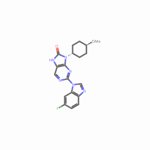 CO[C@H]1CC[C@H](n2c(=O)[nH]c3cnc(-n4cnc5ccc(F)cc54)nc32)CC1